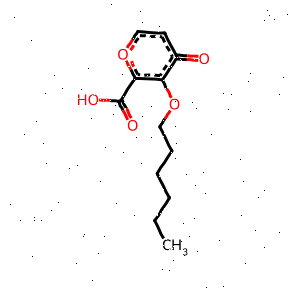 CCCCCCOc1c(C(=O)O)occc1=O